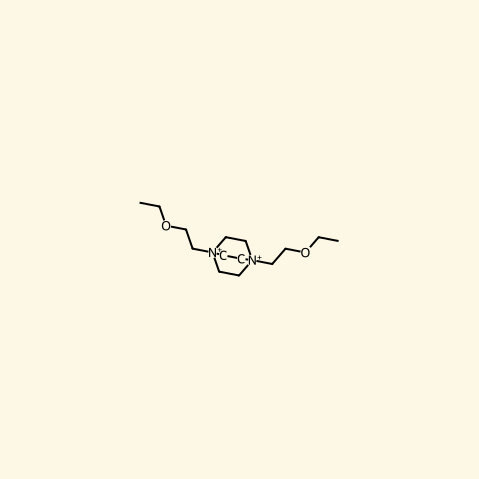 CCOCC[N+]12CC[N+](CCOCC)(CC1)CC2